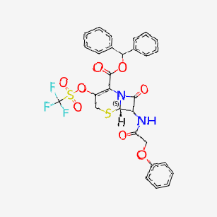 O=C(COc1ccccc1)NC1C(=O)N2C(C(=O)OC(c3ccccc3)c3ccccc3)=C(OS(=O)(=O)C(F)(F)F)CS[C@@H]12